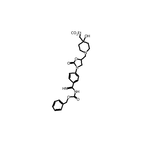 CCOC(=O)CC1(O)CCN(CC2CN(c3ccc(C(=N)NC(=O)OCc4ccccc4)cc3)C(=O)O2)CC1